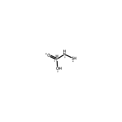 O=[PH](O)NS